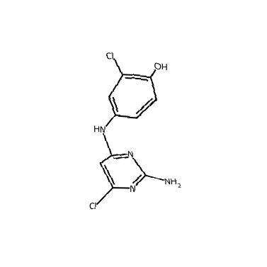 Nc1nc(Cl)cc(Nc2ccc(O)c(Cl)c2)n1